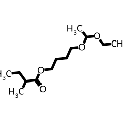 CCOC(C)OCCCCOC(=O)C(C)CC